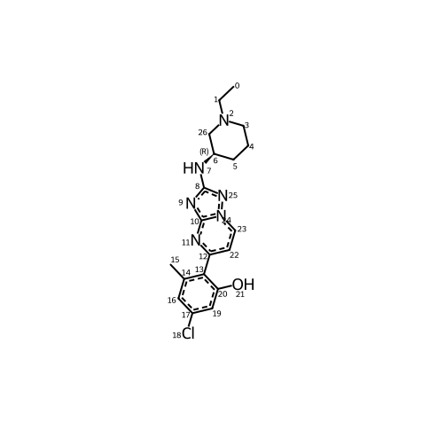 CCN1CCC[C@@H](Nc2nc3nc(-c4c(C)cc(Cl)cc4O)ccn3n2)C1